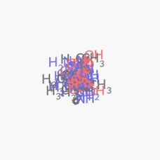 CCCC[C@@H](C(=O)N(C)[C@@H](CCCC)C(=O)N[C@@H](CC(C)C)C(=O)N[C@@H](CSCC(=O)N[C@@H](Cc1ccc(O)cc1)C(=O)N(C)[C@@H](C)C(=O)N[C@@H](CC(N)=O)C(=O)N1CCC[C@H]1C(=O)NC1(C(=O)N[C@@H](CC(C)C)C(=O)N2C[C@H](O)C[C@H]2C(C)=O)CCCC1)C(=O)NCC(N)=O)N(C)C(=O)[C@H](Cc1c[nH]c2ccccc12)NC(=O)[C@H](CCN)NC(=O)[C@@H](N)Cc1c[nH]c2ccccc12